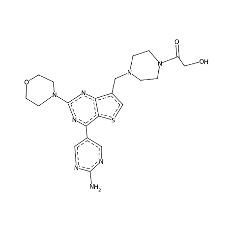 Nc1ncc(-c2nc(N3CCOCC3)nc3c(CN4CCN(C(=O)CO)CC4)csc23)cn1